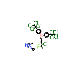 CC(F)C(Cl)C=CCB(c1ccc(C(Cl)(Cl)C(Cl)Cl)cc1)c1ccc(C(Cl)(Cl)C(Cl)Cl)cc1.Cc1cncn1C1CC1